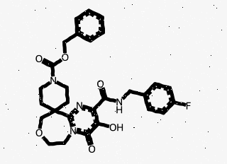 O=C(NCc1ccc(F)cc1)c1nc2n(c(=O)c1O)CCOCC21CCN(C(=O)OCc2ccccc2)CC1